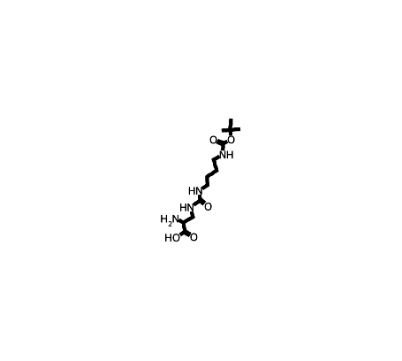 CC(C)(C)OC(=O)NCCCCNC(=O)NCC(N)C(=O)O